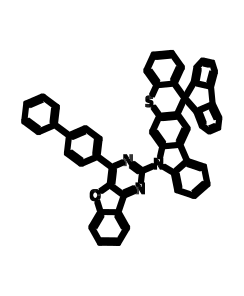 c1ccc(-c2ccc(-c3nc(-n4c5ccccc5c5cc6c(cc54)Sc4ccccc4C64c5ccccc5-c5ccccc54)nc4c3oc3ccccc34)cc2)cc1